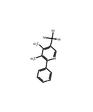 [2H]C([2H])([2H])c1cnc(-c2ccccc2)c(C)c1C